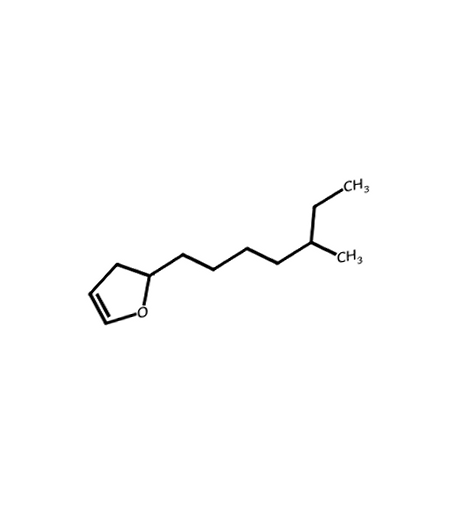 CCC(C)CCCC[C]1CC=CO1